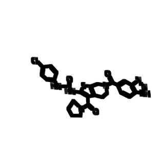 O=C(Nc1ccc(Cl)cc1)Nc1sc2c(c1C(=O)N1CCCC1)CCN(C(=O)c1ccc3[nH]nnc3c1)C2